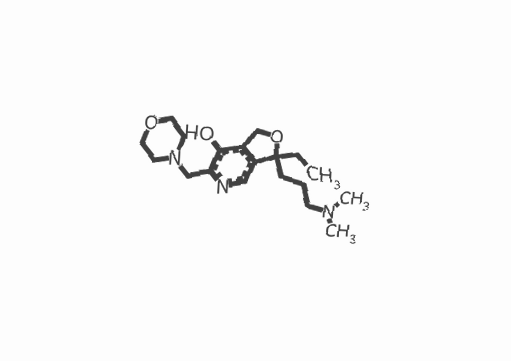 CCC1(CCCN(C)C)OCc2c1cnc(CN1CCOCC1)c2O